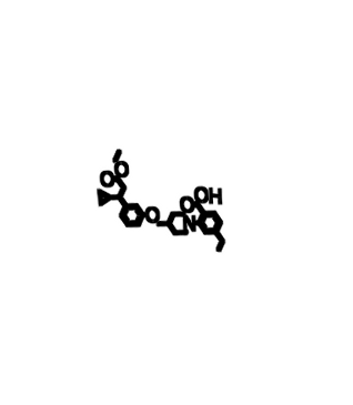 CCOC(=O)CC(c1cccc(OCC2CCN(c3cc(CC)ccc3C(=O)O)CC2)c1)C1CC1